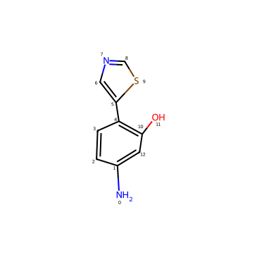 Nc1ccc(-c2cncs2)c(O)c1